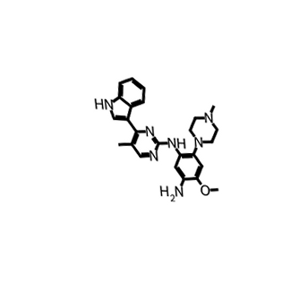 COc1cc(N2CCN(C)CC2)c(Nc2ncc(C)c(-c3c[nH]c4ccccc34)n2)cc1N